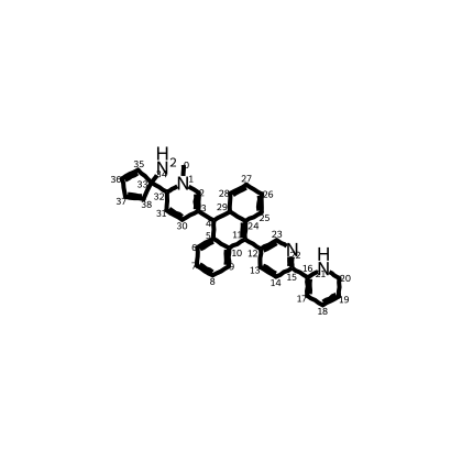 CN1C=C(C2c3ccccc3C(c3ccc(C4=CC=CCN4)nc3)=C3C=CC=CC32)C=CC1C1(N)C=CC=C1